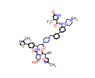 Cc1cc(C(C(=O)N2C[C@H](O)C[C@H]2C(=O)NC(CC(=O)N2CCN(Cc3cccc(-c4ccc(N5CCN(C)CC5)c(NC(=O)c5c[nH]c(=O)cc5C(F)(F)F)c4)c3)CC2)c2ccc(-c3scnc3C)cc2)C(C)C)on1